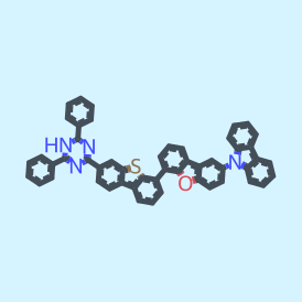 c1ccc(C2=NC(c3ccc4c(c3)sc3c(-c5cccc6c5oc5ccc(-n7c8ccccc8c8ccccc87)cc56)cccc34)=NC(c3ccccc3)N2)cc1